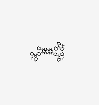 CC1(C)c2ccccc2N(c2ccc(-c3nc4nc5nc(-c6ccc(N7c8ccccc8C(C)(C)c8ccccc87)cc6)c(-c6ccc(N7c8ccccc8C(C)(C)c8ccccc87)cc6)nc5nc4nc3-c3ccccc3)cc2)c2ccccc21